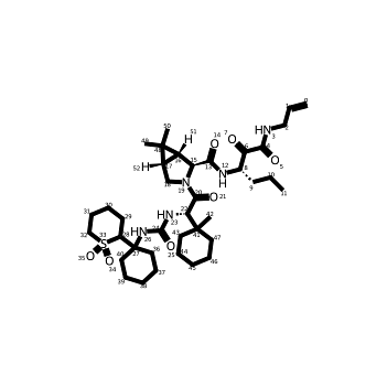 C=CCNC(=O)C(=O)[C@H](CCC)NC(=O)[C@@H]1[C@@H]2[C@H](CN1C(=O)[C@@H](NC(=O)NC1(C3CCCCS3(=O)=O)CCCCC1)C1(C)CCCCC1)C2(C)C